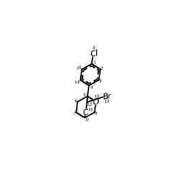 Clc1ccc(C23CCC(CO2)CC3Br)cc1